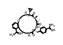 C[C@@H]1C(=O)N[C@H](Cc2ccc(C(=N)N)cc2)C(=O)NCCCc2c(cccc2C(=N)N)OCCN[C@@H](C2CC2)C(=O)N1C